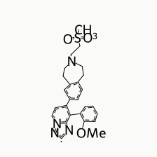 COc1ccccc1-c1c(-c2ccc3c(c2)CCN(CCS(C)(=O)=O)CC3)ccn2n[c]nc12